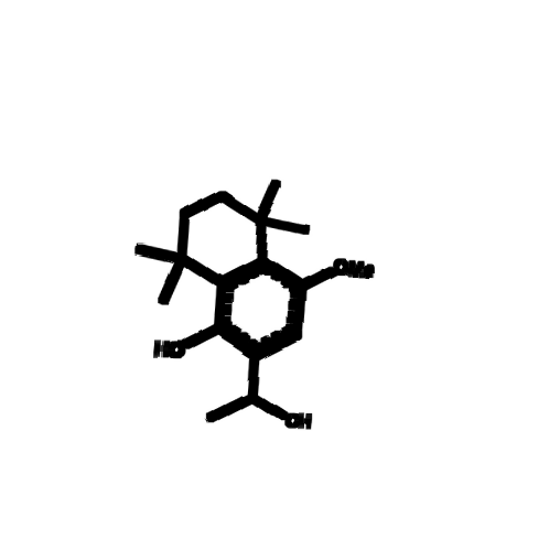 COc1cc(C(C)O)c(O)c2c1C(C)(C)CCC2(C)C